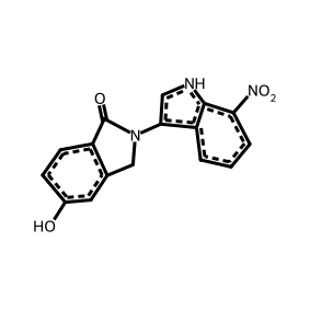 O=C1c2ccc(O)cc2CN1c1c[nH]c2c([N+](=O)[O-])cccc12